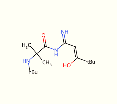 CCCCNC(C)(C)C(=O)NC(=N)/C=C(\O)C(C)(C)C